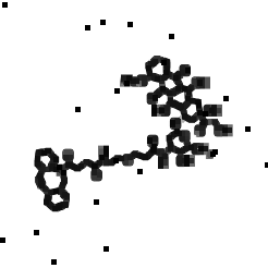 COc1cccc2c1C(=O)c1c(O)c3c(c(O)c1C2=O)C[C@@](O)(C(=O)CO)C[C@@H]3OC1CC(NC(=O)CCOCCNC(=O)CCC(=O)N2Cc3ccccc3C#Cc3ccccc32)C(O)C(C)O1